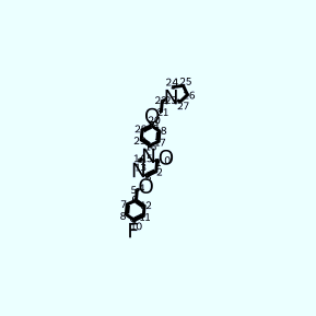 O=c1cc(OCc2ccc(F)cc2)ncn1-c1ccc(OCCN2CCCC2)cc1